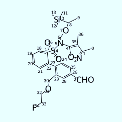 Cc1noc(N(COC(C)[Si](C)(C)C)S(=O)(=O)c2ccccc2-c2ccc(C=O)cc2COCCF)c1C